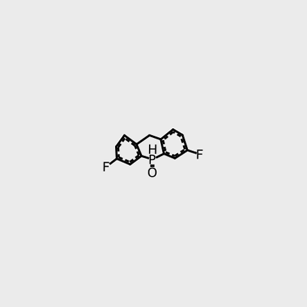 O=[PH]1c2cc(F)ccc2Cc2ccc(F)cc21